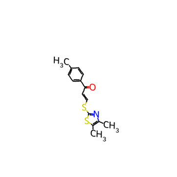 Cc1ccc(C(=O)/C=C/Sc2nc(C)c(C)s2)cc1